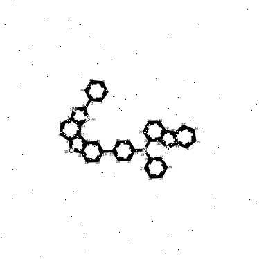 c1ccc(-c2nc3ccc4oc5ccc(-c6ccc(N(c7ccccc7)c7cccc8c7sc7ccccc78)cc6)cc5c4c3s2)cc1